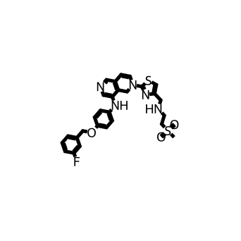 CS(=O)(=O)CCNCc1csc(N2C=Cc3cncc(Nc4ccc(OCc5cccc(F)c5)cc4)c3C2)n1